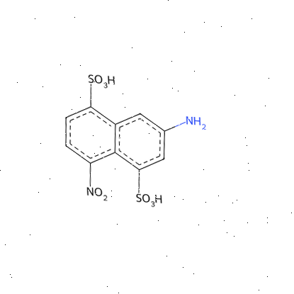 Nc1cc(S(=O)(=O)O)c2c([N+](=O)[O-])ccc(S(=O)(=O)O)c2c1